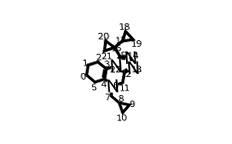 C1CCC2=C(C1)N(CC1CC1)Cc1nnc(C3(C4CC4)CC3)n12